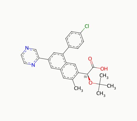 Cc1cc2cc(-c3cnccn3)cc(-c3ccc(Cl)cc3)c2cc1[C@H](OC(C)(C)C)C(=O)O